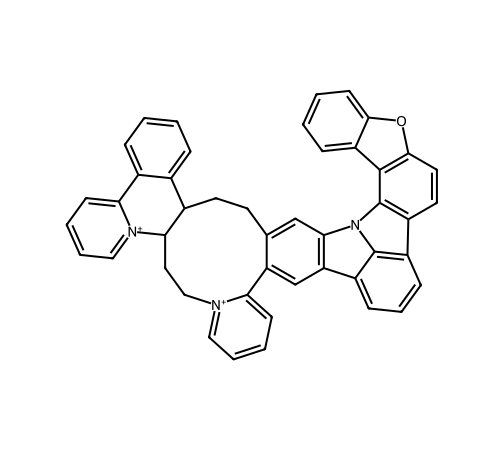 c1ccc2c(c1)-c1cccc[n+]1C1CC[n+]3ccccc3-c3cc4c5cccc6c7ccc8oc9ccccc9c8c7n(c4cc3CCC21)c56